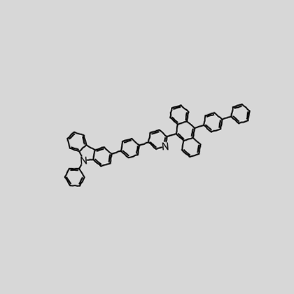 c1ccc(-c2ccc(-c3c4ccccc4c(-c4ccc(-c5ccc(-c6ccc7c(c6)c6ccccc6n7-c6ccccc6)cc5)cn4)c4ccccc34)cc2)cc1